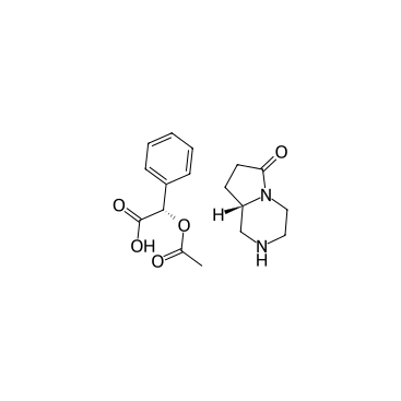 CC(=O)O[C@H](C(=O)O)c1ccccc1.O=C1CC[C@H]2CNCCN12